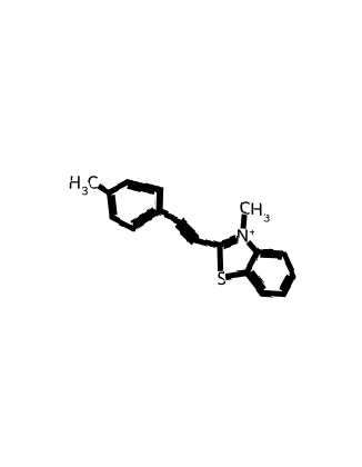 Cc1ccc(C#Cc2sc3ccccc3[n+]2C)cc1